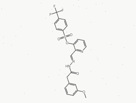 COc1cccc(CC(=O)N/N=C/c2ncccc2OS(=O)(=O)c2ccc(C(F)(F)F)cc2)c1